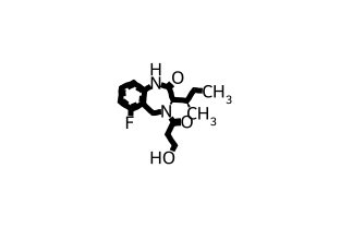 CC[C@H](C)[C@H]1C(=O)Nc2cccc(F)c2CN1C(=O)CCO